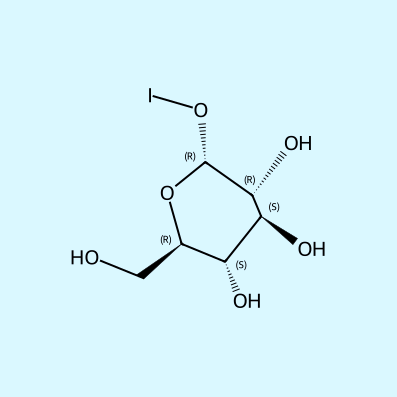 OC[C@H]1O[C@H](OI)[C@H](O)[C@@H](O)[C@@H]1O